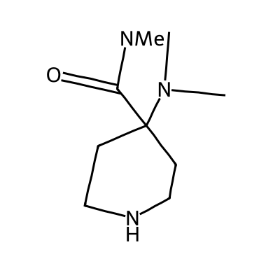 CNC(=O)C1(N(C)C)CCNCC1